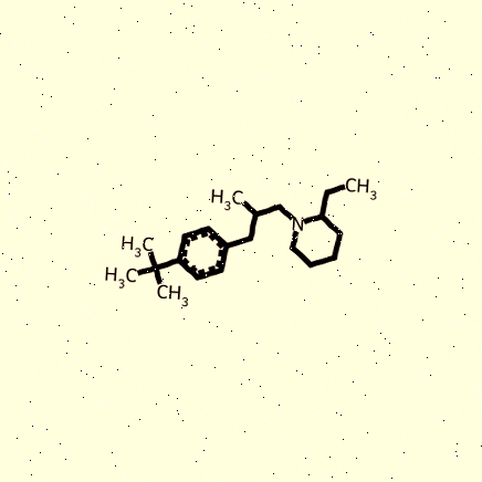 CCC1CCCCN1CC(C)Cc1ccc(C(C)(C)C)cc1